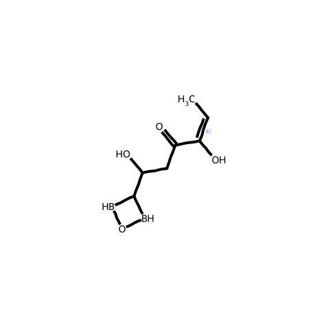 C/C=C(/O)C(=O)CC(O)C1BOB1